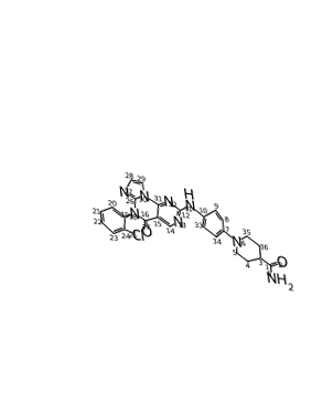 NC(=O)C1CCN(c2ccc(Nc3ncc4c(=O)n(-c5ccccc5Cl)c5nccn5c4n3)cc2)CC1